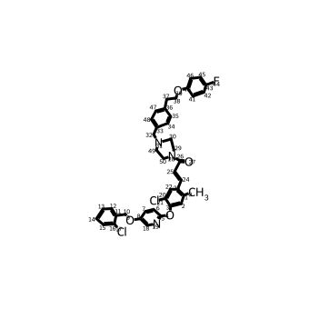 Cc1cc(Oc2ccc(OCc3ccccc3Cl)cn2)c(Cl)cc1C=CC(=O)N1CCN(Cc2ccc(CCOc3ccc(F)cc3)cc2)CC1